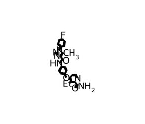 CCc1c(Oc2ccc(NC(=O)c3nnn(-c4ccc(F)cc4)c3C)cc2)ccnc1C(N)=O